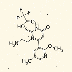 COc1ncc(C)cc1-c1cc(=O)[nH]c(=S)n1CCN.O=C(O)C(F)(F)F